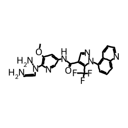 COc1cc(NC(=O)c2cnn(-c3cccc4ncccc34)c2C(F)(F)F)cnc1N(N)/C=C\N